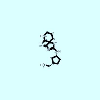 CC[C@H]1CC[C@@H](NC2=NC(=O)C3(CCCNC3=O)S2)C1